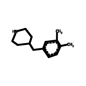 Cc1ccc(CC2CCNCC2)cc1C